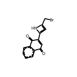 O=C1C=C(C2=C=C(CBr)N2)C(=O)c2ccccc21